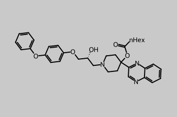 CCCCCCC(=O)OC1(c2cnc3ccccc3n2)CCN(C[C@@H](O)COc2ccc(Oc3ccccc3)cc2)CC1